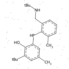 Cc1cc(Pc2c(C)cccc2CNC(C)(C)C)c(O)c(C(C)(C)C)c1